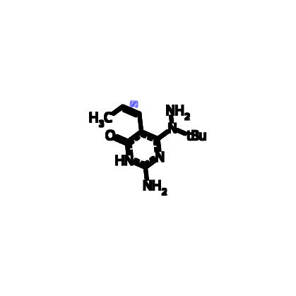 C/C=C\c1c(N(N)C(C)(C)C)nc(N)[nH]c1=O